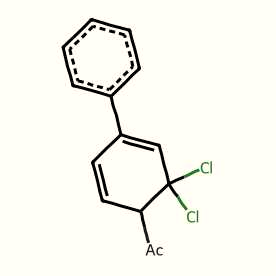 CC(=O)C1C=CC(c2ccccc2)=CC1(Cl)Cl